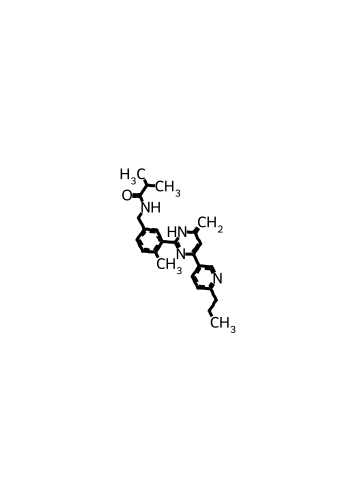 C=C1C=C(c2ccc(CCC)nc2)N=C(c2cc(CNC(=O)C(C)C)ccc2C)N1